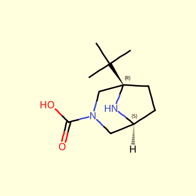 CC(C)(C)[C@]12CC[C@@H](CN(C(=O)O)C1)N2